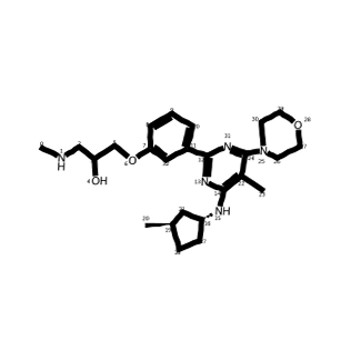 CNCC(O)COc1cccc(-c2nc(N[C@@H]3CC[C@@H](C)C3)c(C)c(N3CCOCC3)n2)c1